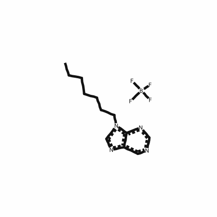 CCCCCCCn1cnc2cncnc21.F[B-](F)(F)F